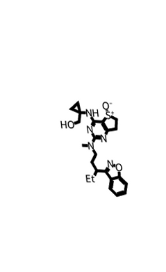 CCC(CCN(C)c1nc2c(c(NC3(CO)CC3)n1)[S+]([O-])CC2)c1noc2ccccc12